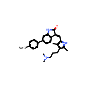 COc1ccc(-c2ccc3c(c2)NC(=O)C3=Cc2[nH]c(C)c(CCCN(C)C)c2C)cc1